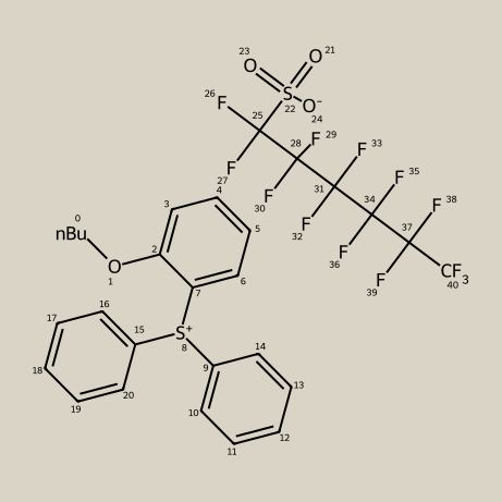 CCCCOc1ccccc1[S+](c1ccccc1)c1ccccc1.O=S(=O)([O-])C(F)(F)C(F)(F)C(F)(F)C(F)(F)C(F)(F)C(F)(F)F